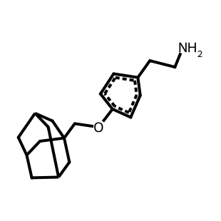 NCCc1ccc(OCC23CC4CC(CC(C4)C2)C3)cc1